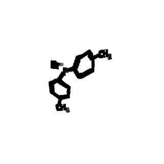 Cc1ccc([I+]c2ccc(C)cc2)cc1.[Br-]